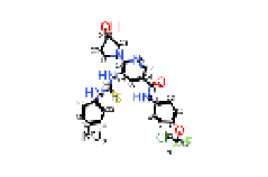 O=C(Nc1ccc(OC(F)(F)Cl)cc1)c1cnc(N2CC[C@@H](O)C2)c(NC(=S)Nc2ccc([N+](=O)[O-])cc2)c1